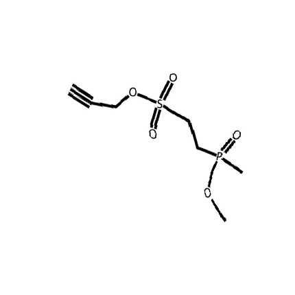 C#CCOS(=O)(=O)CCP(C)(=O)OC